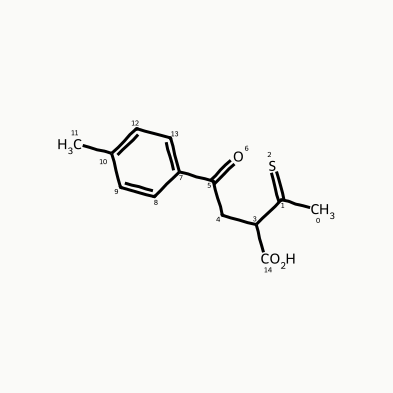 CC(=S)C(CC(=O)c1ccc(C)cc1)C(=O)O